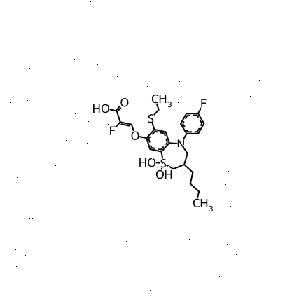 CCCCC1CN(c2ccc(F)cc2)c2cc(SCC)c(O/C=C(\F)C(=O)O)cc2S(O)(O)C1